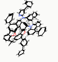 CC(C)(C)c1cccc2c1oc1c2cc(-c2ccccc2)c2cc(N(c3ccc4ccccc4c3)c3cc(-c4ccccc4)ccn3)c3cc(N4C=c5ccccc5=C5C(c6ccccc6)=CC=CC54)c4oc5c(-c6cccc(-c7ccccc7)c6)cccc5c4c3c21